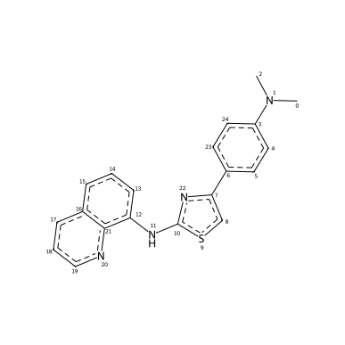 CN(C)c1ccc(-c2csc(Nc3cccc4cccnc34)n2)cc1